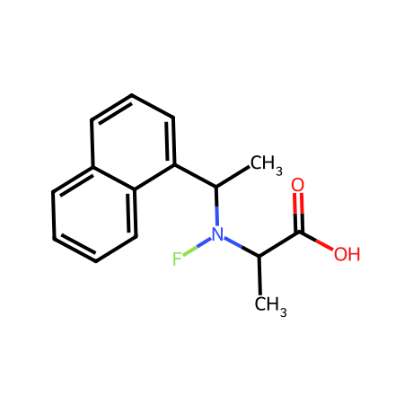 CC(C(=O)O)N(F)C(C)c1cccc2ccccc12